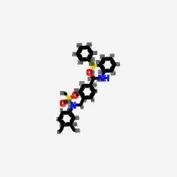 Cc1ccc(N(Cc2ccc(C(=O)Nc3ccccc3Sc3ccccc3)cc2)S(C)(=O)=O)cc1C